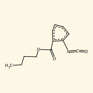 CCCCOC(=O)c1ccccc1N=C=O